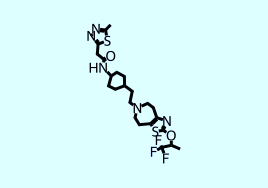 Cc1nnc(CC(=O)NC2CCC(CCN3CCc4nc(OC(C)C(F)(F)F)sc4CC3)CC2)s1